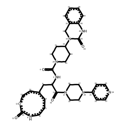 O=C(NC(Cc1ccc[nH]c(=O)occ1)C(=O)N1CCN(c2ccncc2)CC1)N1CCC(N2Cc3ccccc3NC2=O)CC1